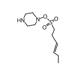 CCC=CCCS(=O)(=O)ON1CCNCC1